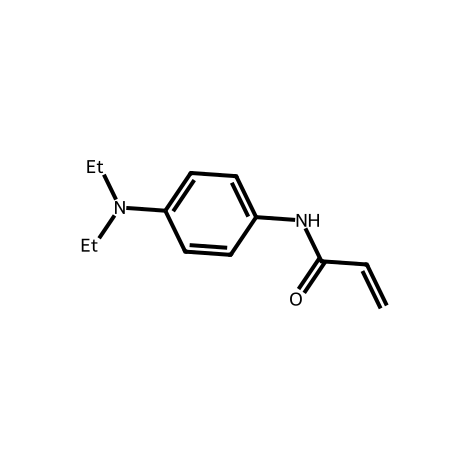 C=CC(=O)Nc1ccc(N(CC)CC)cc1